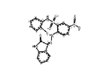 O=C1Nc2ccccc2/C1=N/Nc1ccc([N+](=O)[O-])cc1S(=O)(=O)Nc1ccccc1Cl